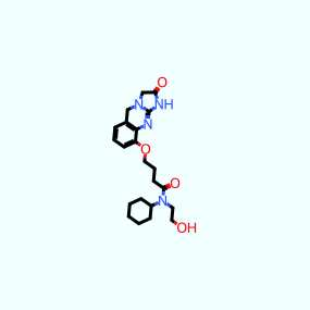 O=C1CN2Cc3cccc(OCCCC(=O)N(CCO)C4CCCCC4)c3N=C2N1